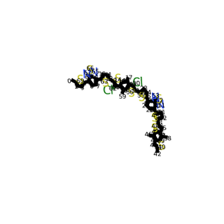 Cc1ccc(-c2ccc(-c3ccc(-c4sc5c(C)c6c(Cl)c(-c7ccc(-c8ccc(-c9ccc(-c%10cc%11c(C)c%12sc(C)cc%12c(C)c%11s%10)s9)c9nsnc89)s7)sc6c(C)c5c4Cl)s3)c3nsnc23)s1